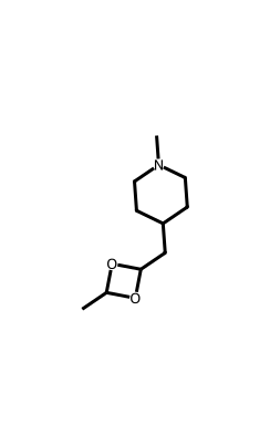 CC1OC(CC2CCN(C)CC2)O1